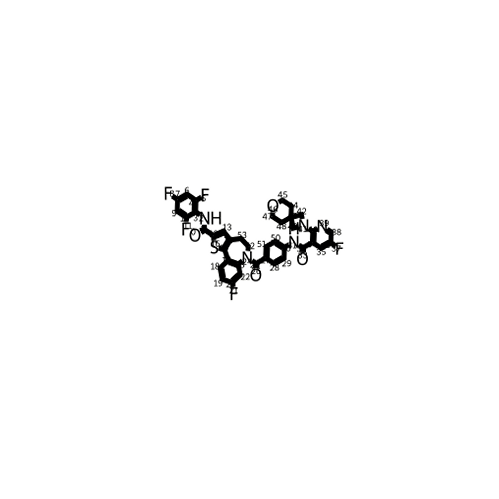 O=C(Nc1c(F)cc(F)cc1F)c1cc2c(s1)-c1ccc(F)cc1N(C(=O)c1ccc(NC(=O)c3cc(F)cnc3N3CC4(CCOCC4)C3)cc1)CC2